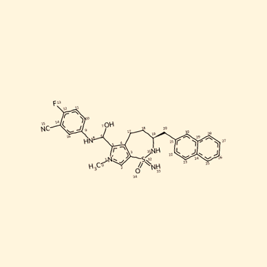 Cn1cc2c(c1C(O)Nc1ccc(F)c(C#N)c1)CC[C@@H](Cc1ccc3ccccc3c1)NS2(=N)=O